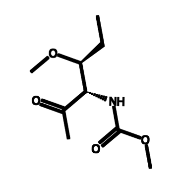 CC[C@H](OC)[C@H](NC(=O)OC)C(C)=O